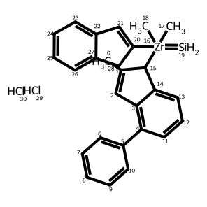 CC1=Cc2c(-c3ccccc3)cccc2[CH]1[Zr]([CH3])([CH3])(=[SiH2])[C]1=Cc2ccccc2C1.Cl.Cl